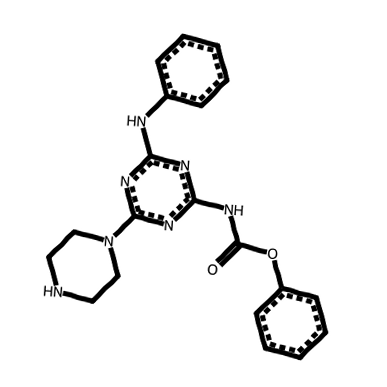 O=C(Nc1nc(Nc2ccccc2)nc(N2CCNCC2)n1)Oc1ccccc1